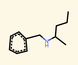 CCCC(C)NCc1ccccc1